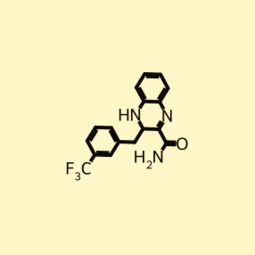 NC(=O)C1=Nc2ccccc2NC1Cc1cccc(C(F)(F)F)c1